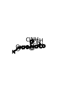 CN(C)CCCOC(=O)C(C)(C)N1CCC(N2CCN(C(=O)[C@@H](Cc3cc(Cl)c(N)c(C(F)(F)F)c3)OC(=O)N3CCC(N4CCc5ccccc5NC4=O)CC3)CC2)CC1